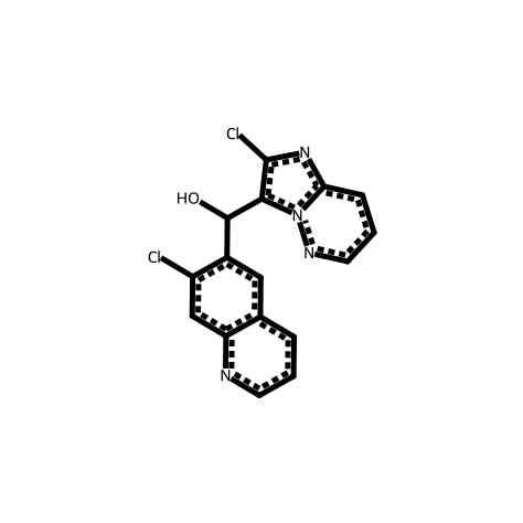 OC(c1cc2cccnc2cc1Cl)c1c(Cl)nc2cccnn12